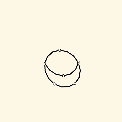 C1COCCN2CCOCCN(CCO1)CCOCC2